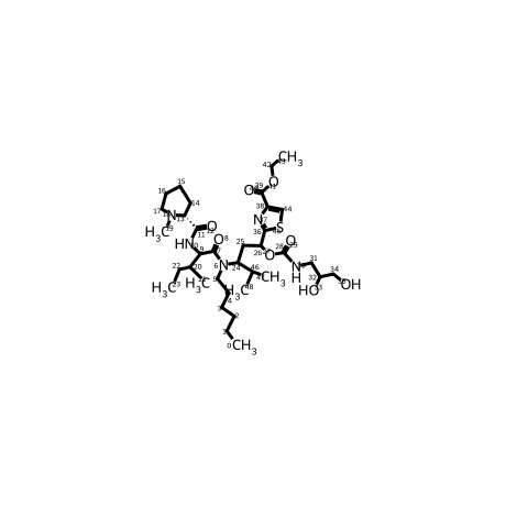 CCCCCCN(C(=O)C(NC(=O)[C@H]1CCCCN1C)C(C)CC)C(CC(OC(=O)NCC(O)CO)c1nc(C(=O)OCC)cs1)C(C)C